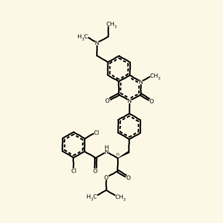 CCN(C)Cc1ccc2c(c1)c(=O)n(-c1ccc(C[C@H](NC(=O)c3c(Cl)cccc3Cl)C(=O)OC(C)C)cc1)c(=O)n2C